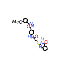 COc1cccc(-c2nnc(C3CCC(NC(=O)CCSc4nc5ccccc5c(=O)[nH]4)CC3)o2)c1